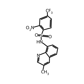 Cc1cnc2c(NS(=O)(=O)c3ccc(C(F)(F)F)cc3[N+](=O)[O-])cccc2c1